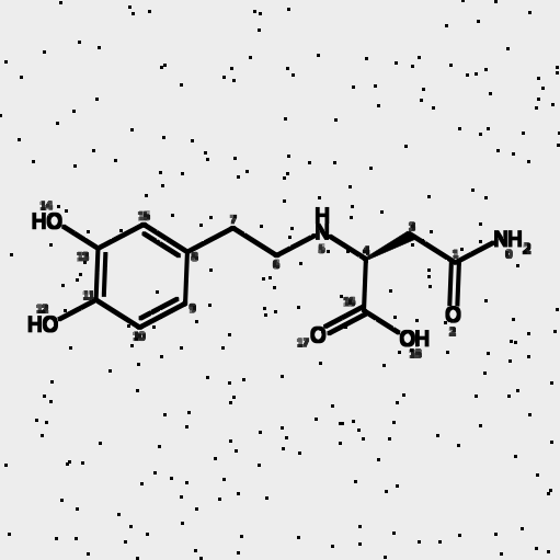 NC(=O)C[C@H](NCCc1ccc(O)c(O)c1)C(=O)O